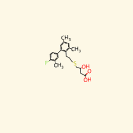 Cc1cc(C)c(CCCSCC(O)CC(=O)O)c(-c2ccc(F)c(C)c2)c1